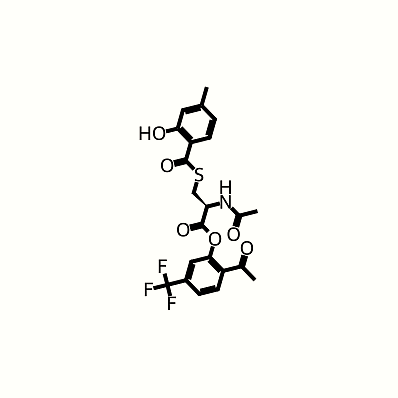 CC(=O)N[C@H](CSC(=O)c1ccc(C)cc1O)C(=O)Oc1cc(C(F)(F)F)ccc1C(C)=O